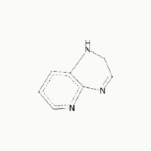 C1=Nc2ncccc2NC1